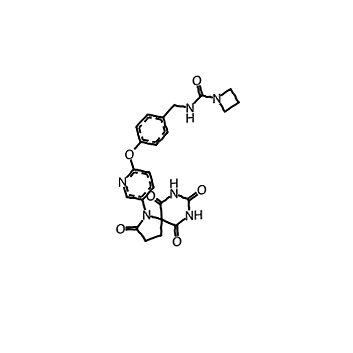 O=C1NC(=O)C2(CCC(=O)N2c2ccc(Oc3ccc(CNC(=O)N4CCC4)cc3)nc2)C(=O)N1